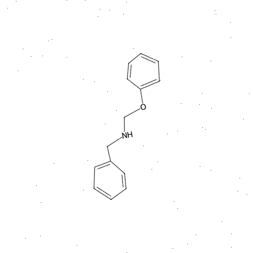 c1ccc(CNCOc2ccccc2)cc1